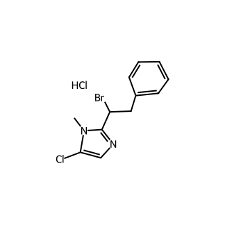 Cl.Cn1c(Cl)cnc1C(Br)Cc1ccccc1